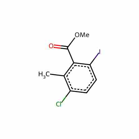 COC(=O)c1c(I)ccc(Cl)c1C